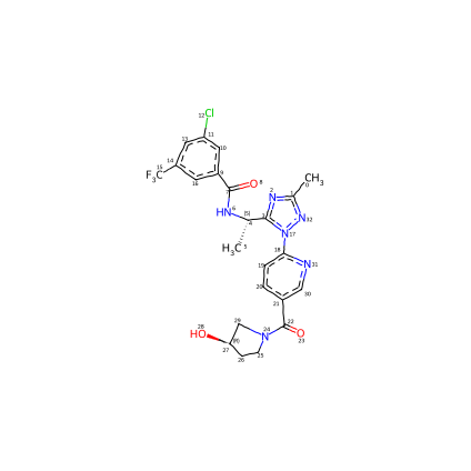 Cc1nc([C@H](C)NC(=O)c2cc(Cl)cc(C(F)(F)F)c2)n(-c2ccc(C(=O)N3CC[C@@H](O)C3)cn2)n1